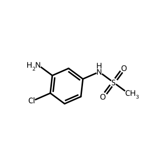 CS(=O)(=O)Nc1ccc(Cl)c(N)c1